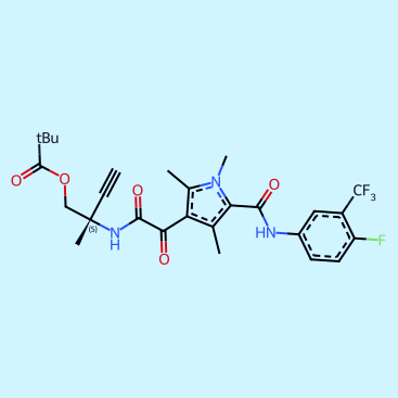 C#C[C@@](C)(COC(=O)C(C)(C)C)NC(=O)C(=O)c1c(C)c(C(=O)Nc2ccc(F)c(C(F)(F)F)c2)n(C)c1C